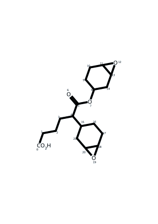 O=C(O)CCCC(C(=O)OC1CCC2OC2C1)C1CCC2OC2C1